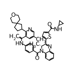 C=C(Nc1ccc(C(=O)N2c3ccccc3N=C(c3ccc(C(=O)NC4CC4)s3)[C@H]2C)cc1)c1cc(C)cnc1C1CCC2(CCOCC2)C1